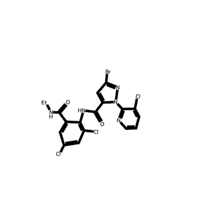 CCNC(=O)c1cc(Cl)cc(Cl)c1NC(=O)c1cc(Br)nn1-c1ncccc1Cl